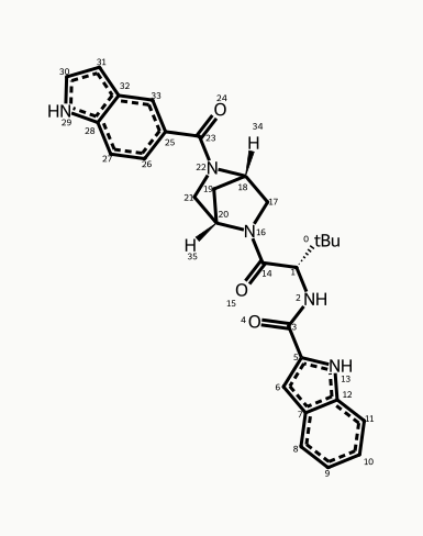 CC(C)(C)[C@H](NC(=O)c1cc2ccccc2[nH]1)C(=O)N1C[C@@H]2C[C@H]1CN2C(=O)c1ccc2[nH]ccc2c1